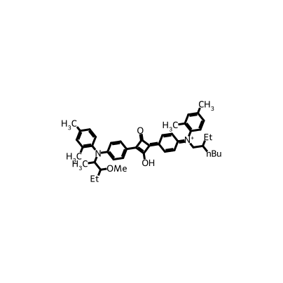 CCCCC(CC)C[N+](=C1C=CC(=C2C(=O)C(c3ccc(N(c4ccc(C)cc4C)C(C)C(CC)OC)cc3)=C2O)C=C1)c1ccc(C)cc1C